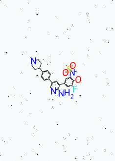 COc1c(F)cc(-c2cc(-c3ccc(C4CCN(C)CC4)cc3)cnc2N)cc1N(C)S(C)(=O)=O